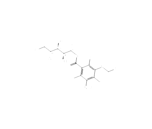 CC(=O)CNc1c(I)c(NC(C)=O)c(I)c(C(=O)N[C@@H](C=O)[C@@H](O)[C@H](O)[C@H](O)CO)c1I